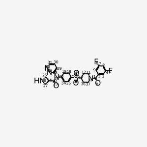 O=C(c1cc(F)cc(F)c1)N1CCC(S(=O)(=O)c2ccc(N(C(=O)C3CNC3)c3cccnn3)cc2)CC1